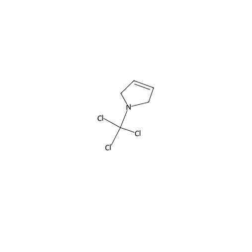 ClC(Cl)(Cl)N1CC=CC1